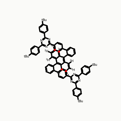 [2H]c1c([2H])c([2H])c2c(-c3ccccc3-c3ccc(-c4nc(-c5ccc(C(C)(C)C)cc5)nc(-c5ccc(C(C)(C)C)cc5)n4)cc3)c3c([2H])c([2H])c([2H])c([2H])c3c(-c3ccccc3-c3ccc(-c4nc(-c5ccc(C(C)(C)C)cc5)nc(-c5ccc(C(C)(C)C)cc5)n4)cc3)c2c1[2H]